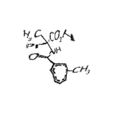 Cc1cccc(C(=O)N[C@@](C)(C(=O)O)C(C)C)c1